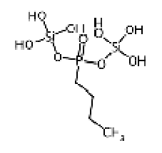 CCCCP(=O)(O[Si](O)(O)O)O[Si](O)(O)O